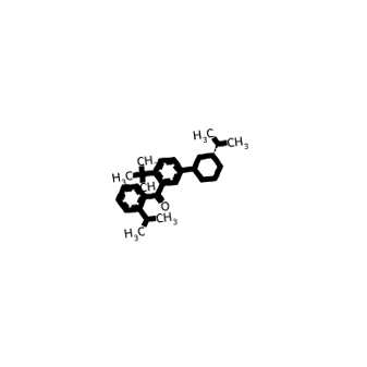 CC(C)c1ccccc1C(=O)c1cc(C2CCC[C@@H](C(C)C)C2)ccc1C(C)(C)C